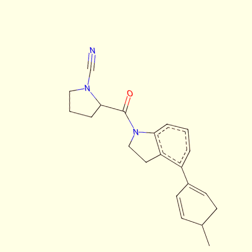 CC1C=CC(c2cccc3c2CCN3C(=O)C2CCCN2C#N)=CC1